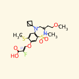 COCC[C@@H]1CN(C23CC(C2)C3)c2cc(SC)c(O/C=C(\F)C(=O)O)cc2S(=O)(=O)N1C